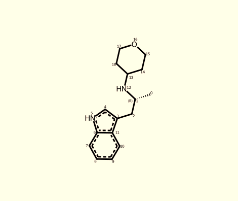 C[C@H](Cc1c[nH]c2ccccc12)NC1CCOCC1